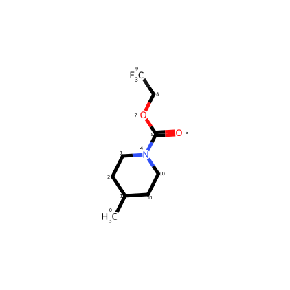 CC1CCN(C(=O)OCC(F)(F)F)CC1